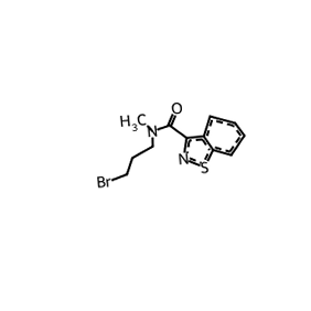 CN(CCCBr)C(=O)c1nsc2ccccc12